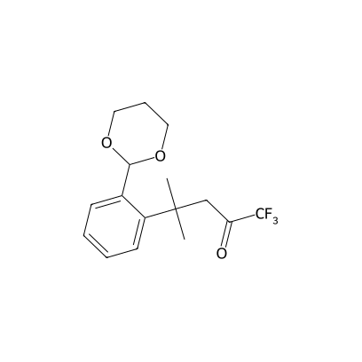 CC(C)(CC(=O)C(F)(F)F)c1ccccc1C1OCCCO1